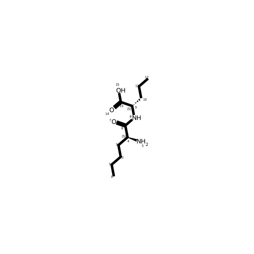 CCCC[C@H](N)C(=O)N[C@@H](CCC)C(=O)O